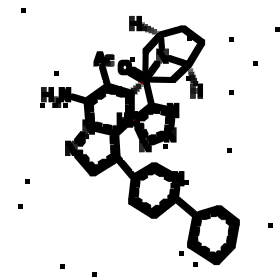 CC(=O)c1c([C@@H]2C[C@H]3CC[C@@H](C2)N3C(=O)c2nnn[nH]2)nc2c(-c3ccc(-c4ccccc4)nc3)cnn2c1N